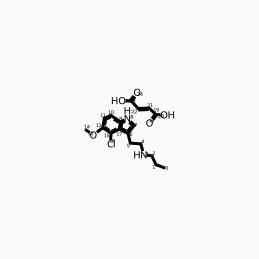 CCCNCCc1c[nH]c2ccc(OC)c(Cl)c12.O=C(O)C=CC(=O)O